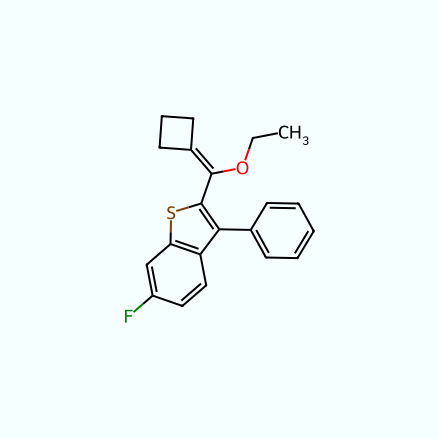 CCOC(=C1CCC1)c1sc2cc(F)ccc2c1-c1ccccc1